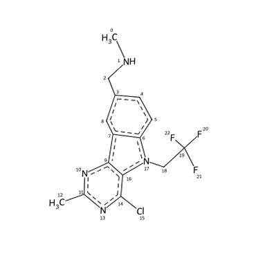 CNCc1ccc2c(c1)c1nc(C)nc(Cl)c1n2CC(F)(F)F